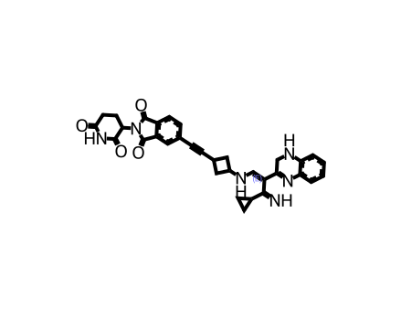 N=C(/C(=C\NC1CC(C#Cc2ccc3c(c2)C(=O)N(C2CCC(=O)NC2=O)C3=O)C1)C1=Nc2ccccc2NC1)C1CC1